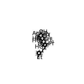 CCc1cccc(CCCc2cc(C(C)C)c3c(c2O)C(=O)C2=C(O)[C@@]4(O)C(=O)C(C(C)=O)=C(O)C(C(C)C)[C@@]4(C)C[C@@]2(C)C3)c1